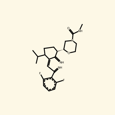 CNC(=O)N1CCO[C@H](C2CCC(C(C)C)/C(=C/C(=N)c3c(F)cccc3F)C2=N)C1